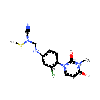 CSN(C#N)CNc1ccc(-n2ccc(=O)n(C)c2=O)c(Cl)c1